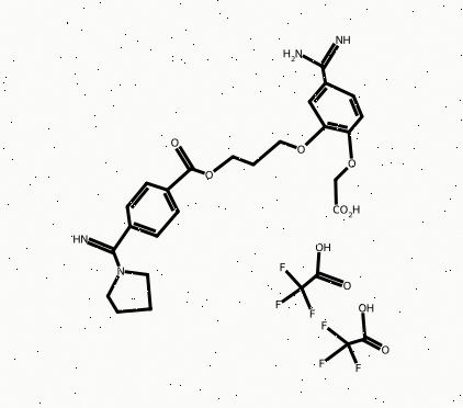 N=C(N)c1ccc(OCC(=O)O)c(OCCCOC(=O)c2ccc(C(=N)N3CCCC3)cc2)c1.O=C(O)C(F)(F)F.O=C(O)C(F)(F)F